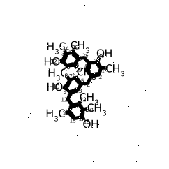 Cc1cc(Cc2cc(C)c(O)c(Cc3c(C)cc(O)c(C)c3C)c2)cc(Cc2c(C)cc(O)c(C)c2C)c1O